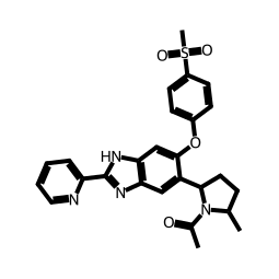 CC(=O)N1C(C)CCC1c1cc2nc(-c3ccccn3)[nH]c2cc1Oc1ccc(S(C)(=O)=O)cc1